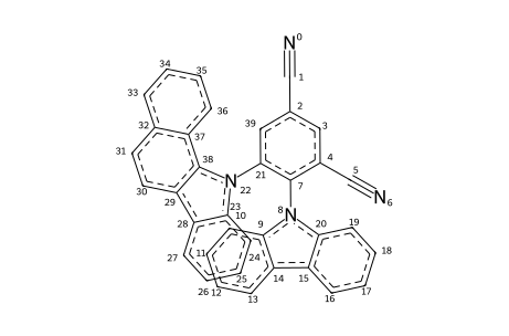 N#Cc1cc(C#N)c(-n2c3ccccc3c3ccccc32)c(-n2c3ccccc3c3ccc4ccccc4c32)c1